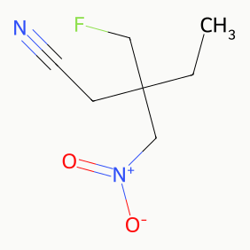 CCC(CF)(CC#N)C[N+](=O)[O-]